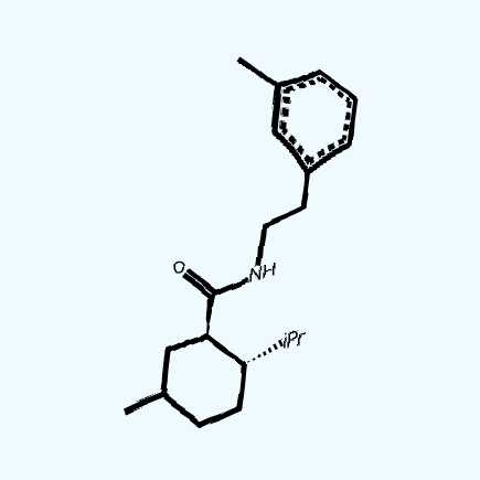 Cc1cccc(CCNC(=O)[C@@H]2CC(C)CC[C@H]2C(C)C)c1